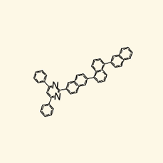 c1ccc(-c2cc(-c3ccccc3)nc(-c3ccc4cc(-c5cccc6c(-c7ccc8ccccc8c7)cccc56)ccc4c3)n2)cc1